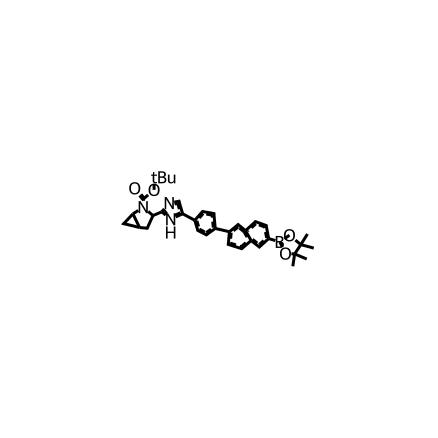 CC(C)(C)OC(=O)N1C(c2ncc(-c3ccc(-c4ccc5cc(B6OC(C)(C)C(C)(C)O6)ccc5c4)cc3)[nH]2)CC2CC21